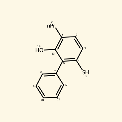 CCCc1ccc(S)c(-c2ccccc2)c1O